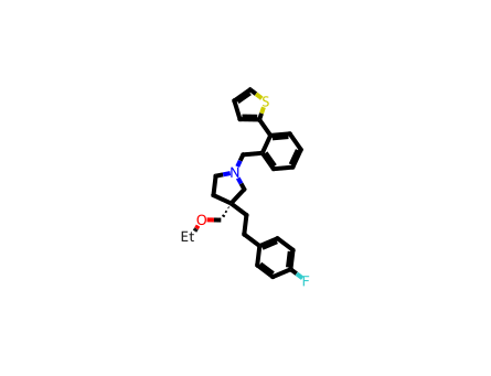 CCOC[C@]1(CCc2ccc(F)cc2)CCN(Cc2ccccc2-c2cccs2)C1